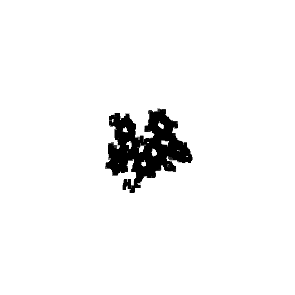 Cc1cc([C@@H](C)Nc2ccc(Cl)nc2-c2ccccc2F)c2oc(-c3cccnc3)c(-c3cnoc3)c(=O)c2c1